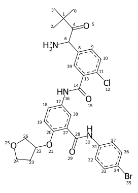 CC(C)(C)C(=O)C(N)c1ccc(Cl)c(C(=O)Nc2ccc(OC3CCOC3)c(C(=O)Nc3ccc(Br)cc3)c2)c1